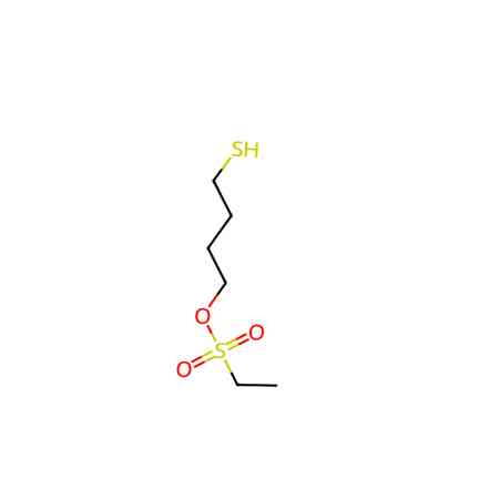 CCS(=O)(=O)OCCCCS